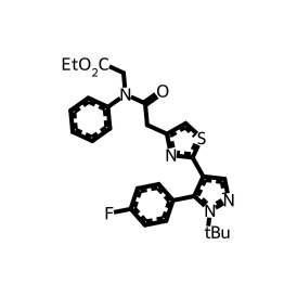 CCOC(=O)CN(C(=O)Cc1csc(-c2cnn(C(C)(C)C)c2-c2ccc(F)cc2)n1)c1ccccc1